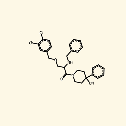 N#CC1(c2ccccc2)CCN(C(=O)C(COCc2ccc(Cl)c(Cl)c2)NCc2ccccc2)CC1